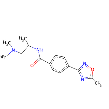 CCCN(C)CC(C)NC(=O)c1ccc(-c2noc(C(F)(F)F)n2)cc1